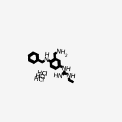 CCNC(=N)Nc1ccc(NCc2ccccc2)c(CN)c1.Cl.Cl.Cl